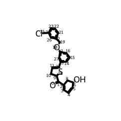 O=C(C1=CC=CC(O)C1)C1CC=C(c2cccc(OCc3cccc(Cl)c3)c2)S1